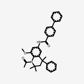 COc1cc(NC(=O)c2ccc(-c3ccccc3)cc2)cc2c1N(C(C)=O)C(C)(C)CC2(C)c1ccccc1